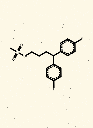 CS(=O)(=O)OCCCC(c1ccc(F)cc1)c1ccc(F)cc1